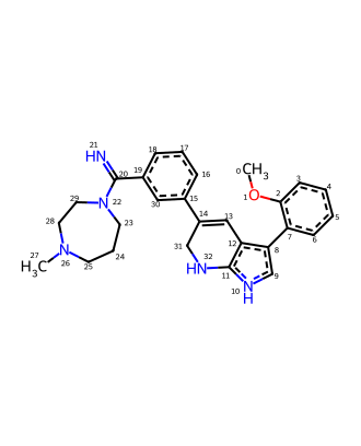 COc1ccccc1-c1c[nH]c2c1C=C(c1cccc(C(=N)N3CCCN(C)CC3)c1)CN2